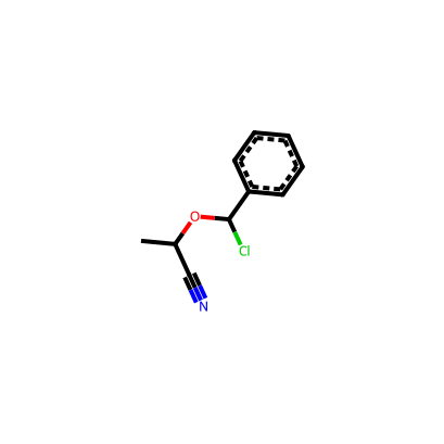 CC(C#N)OC(Cl)c1ccccc1